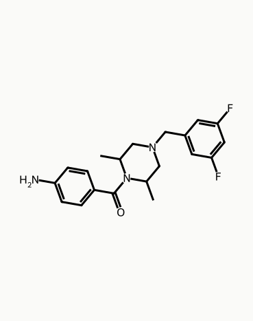 CC1CN(Cc2cc(F)cc(F)c2)CC(C)N1C(=O)c1ccc(N)cc1